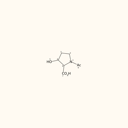 CC(=O)N1CCC(O)C1C(=O)O